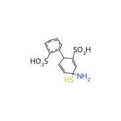 NC1(S)C=CC(c2ccccc2S(=O)(=O)O)C(S(=O)(=O)O)=C1